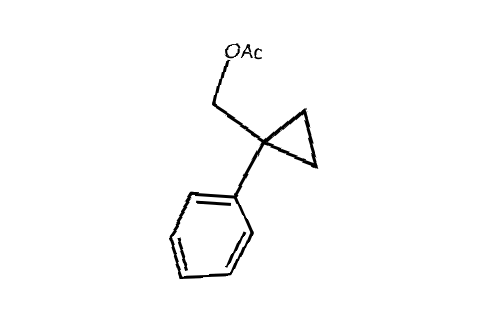 CC(=O)OCC1(c2ccccc2)CC1